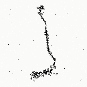 Nc1nc2ncc(CNc3ccc(C(=O)N[C@@H](CCC(=O)NCCCCc4cn(CCOCCOCCOCCOCCOCCOCCOCCOCCOCCOCCOCCNC(=O)CCN5C(=O)C=CC5=O)nn4)C(=O)O)cc3)nc2c(=O)[nH]1